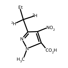 [2H]C([2H])(CC)c1nn(C)c(C(=O)O)c1[N+](=O)[O-]